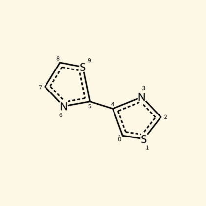 [c]1scnc1-c1nccs1